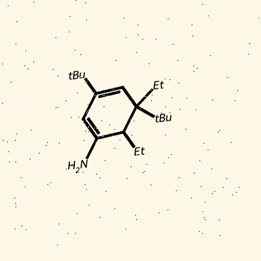 CCC1C(N)=CC(C(C)(C)C)=CC1(CC)C(C)(C)C